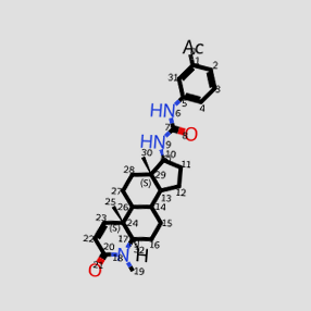 CC(=O)c1cccc(NC(=O)N[C@H]2CCC3C4CC[C@H]5N(C)C(=O)C=C[C@]5(C)C4CC[C@@]32C)c1